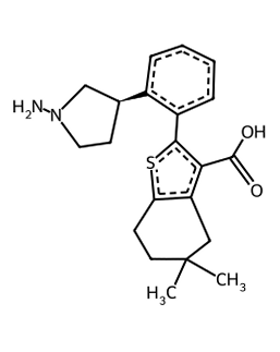 CC1(C)CCc2sc(-c3ccccc3[C@H]3CCN(N)C3)c(C(=O)O)c2C1